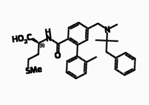 CSCC[C@H](NC(=O)c1ccc(CN(C)C(C)(C)Cc2ccccc2)cc1-c1ccccc1C)C(=O)O